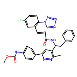 COC(=O)Nc1ccc(-c2cc(C(Cc3ccccc3)NC(=O)C=Cc3cc(Cl)ccc3-n3cnnn3)c(C)nn2)cc1